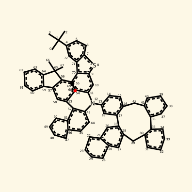 CC(C)(C)c1ccc2sc3cc(N(c4ccc5c(c4)-c4cc6ccccc6cc4Cc4ccccc4-c4ccccc4C5)c4ccc5ccccc5c4-c4ccc5c(c4)-c4ccccc4C5(C)C)ccc3c2c1